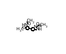 C=CC(=O)Nc1cc(-c2ccc3cnc(C(=O)NC)nc3c2)ccc1OC